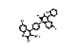 CNc1c(-c2ccc(-n3c(=O)c(OC)c(-c4ccccc4)c4cc(Cl)ccc43)cc2)c2cc(Cl)ccc2[nH]c1=O